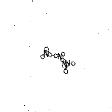 c1ccc(-c2cc(-c3ccccc3)nc(-c3ccc4c(c3)c3ccccc3n4-c3ccc(-c4ccc5c(c4)c4ccccc4n5-c4ccccc4)cc3)n2)cc1